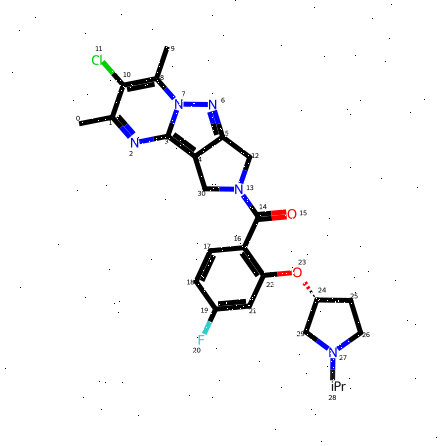 Cc1nc2c3c(nn2c(C)c1Cl)CN(C(=O)c1ccc(F)cc1O[C@@H]1CCN(C(C)C)C1)C3